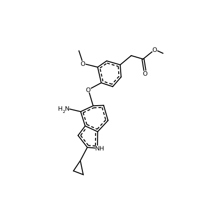 COC(=O)Cc1ccc(Oc2ccc3[nH]c(C4CC4)cc3c2N)c(OC)c1